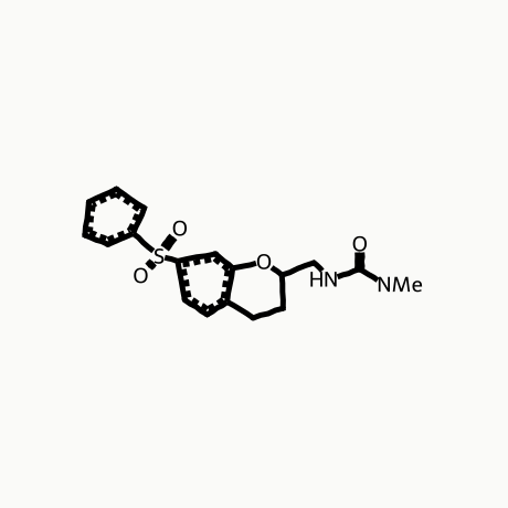 CNC(=O)NCC1CCc2ccc(S(=O)(=O)c3ccccc3)cc2O1